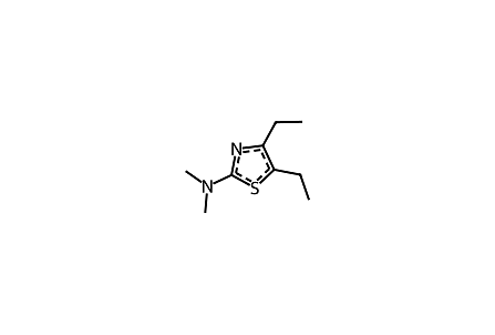 CCc1nc(N(C)C)sc1CC